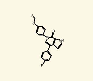 O=c1c2[nH]ccc2c(-c2ccc(F)cc2)cn1-c1ccc(OCF)cc1